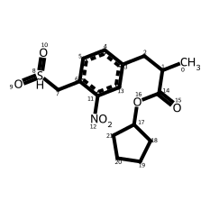 CC(Cc1ccc(C[SH](=O)=O)c([N+](=O)[O-])c1)C(=O)OC1CCCC1